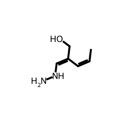 C/C=C\C(=C/NN)CO